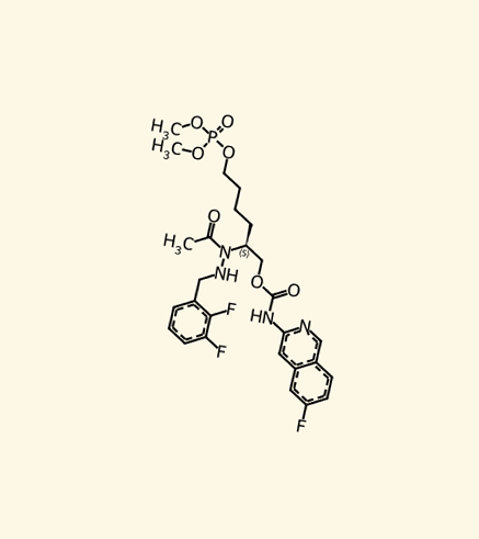 COP(=O)(OC)OCCCC[C@@H](COC(=O)Nc1cc2cc(F)ccc2cn1)N(NCc1cccc(F)c1F)C(C)=O